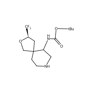 CC(C)(C)OC(=O)NC1CNCCC12CO[C@@H](C(F)(F)F)C2